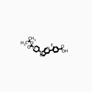 CC(C)OC(=O)N1CCC(n2ncc3cc(-c4ccc(C(=O)O)cc4F)ncc32)CC1